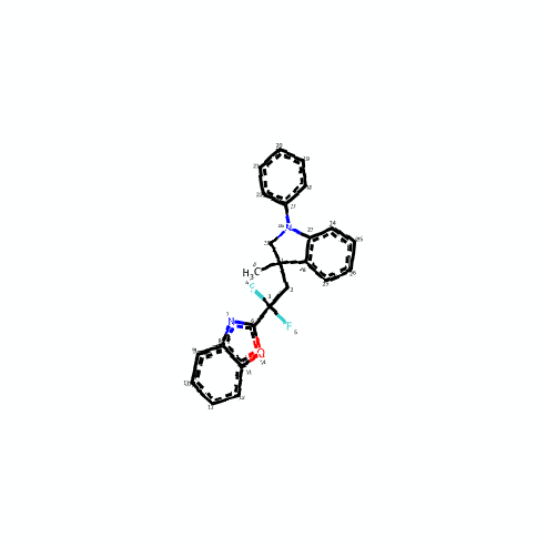 CC1(CC(F)(F)c2nc3ccccc3o2)CN(c2ccccc2)c2ccccc21